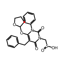 O=c1c(Cc2ccccc2)c(OC2CCCO2)n(-c2ccccc2)c(=O)n1CS(=O)O